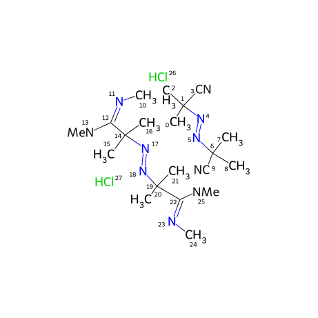 CC(C)(C#N)N=NC(C)(C)C#N.CN=C(NC)C(C)(C)N=NC(C)(C)C(=NC)NC.Cl.Cl